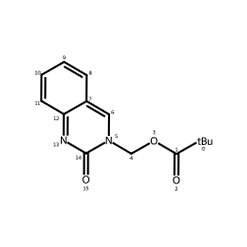 CC(C)(C)C(=O)OCn1cc2ccccc2nc1=O